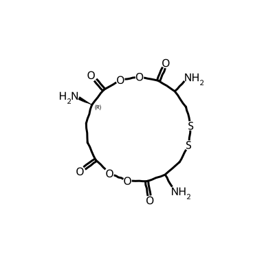 NC1CSSCC(N)C(=O)OOC(=O)[C@H](N)CCC(=O)OOC1=O